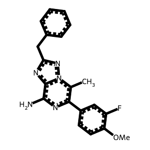 COc1ccc(-c2nc(N)c3nc(Cc4ccccc4)nn3c2C)cc1F